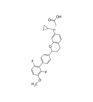 COc1ccc(F)c(-c2ccc(C3CCc4ccc([C@@H](CC(=O)O)C5CC5)cc4O3)cc2)c1F